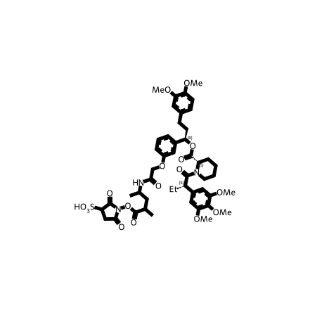 CC[C@H](C(=O)N1CCCC[C@H]1C(=O)O[C@H](CCc1ccc(OC)c(OC)c1)c1cccc(OCC(=O)NC(C)CC(C)C(=O)ON2C(=O)CC(S(=O)(=O)O)C2=O)c1)c1cc(OC)c(OC)c(OC)c1